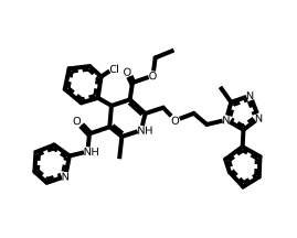 CCOC(=O)C1=C(COCCn2c(C)nnc2-c2ccccc2)NC(C)=C(C(=O)Nc2ccccn2)C1c1ccccc1Cl